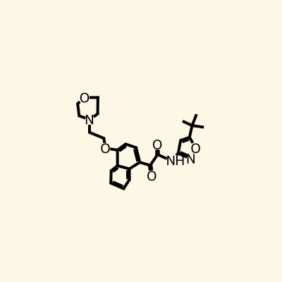 CC(C)(C)c1cc(NC(=O)C(=O)c2ccc(OCCN3CCOCC3)c3ccccc23)no1